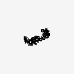 Cc1c(CC(=O)OCOC(=O)ON2C(=O)CCC2=O)c(=O)oc2cc(N=[N+]=[N-])ccc12